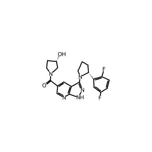 O=C(c1cnc2[nH]nc(N3CCC[C@@H]3c3cc(F)ccc3F)c2c1)N1CC[C@H](O)C1